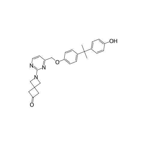 CC(C)(c1ccc(O)cc1)c1ccc(OCc2ccnc(N3CC4(CC(=O)C4)C3)n2)cc1